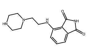 O=C1NC(=O)c2c(NCCN3CCNCC3)cccc21